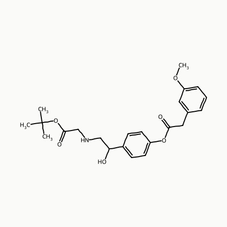 COc1cccc(CC(=O)Oc2ccc(C(O)CNCC(=O)OC(C)(C)C)cc2)c1